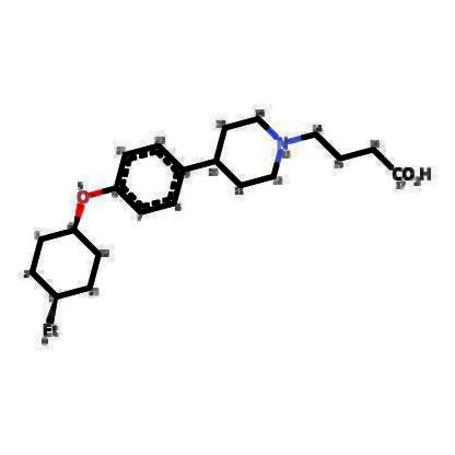 CC[C@H]1CC[C@@H](Oc2ccc(C3CCN(CCCC(=O)O)CC3)cc2)CC1